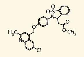 COC(=O)CC1c2ccccc2S(=O)(=O)N1c1ccc(OCc2cc(C)nc3ccc(Cl)cc23)cc1